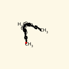 CCCCC[C@H]1CC[C@H](CCCOc2ccc(C(=O)OC[C@@H](C)OC(=O)c3ccc(OCCC[C@H]4CC[C@H](CCCCC)CC4)cc3)cc2)CC1